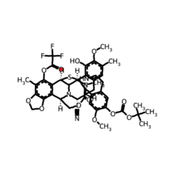 COc1cc2c(cc1OC(=O)OC(C)(C)C)CCN[C@]21CS[C@@H]2c3c(OC(=O)C(F)(F)F)c(C)c4c(c3[C@H](COC1=O)N1C2[C@H]2c3c(cc(C)c(OC)c3O)C[C@H]([C@@H]1C#N)N2C)OCO4